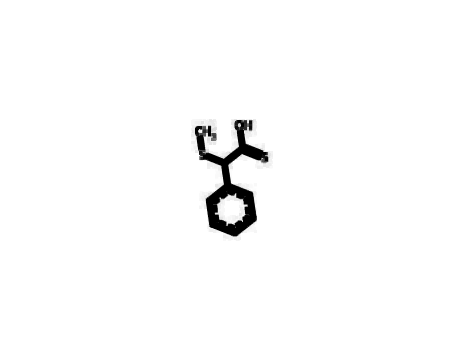 CSC(C(O)=S)c1ccccc1